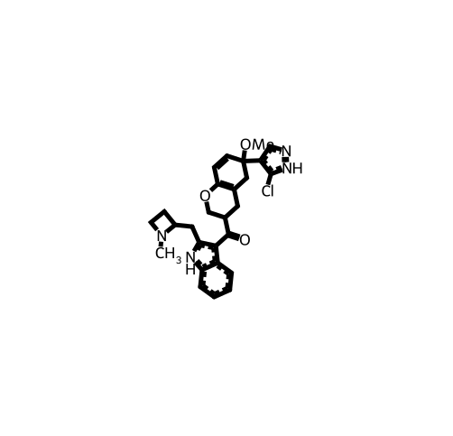 COC1(c2cn[nH]c2Cl)C=CC2=C(CC(C(=O)c3c(CC4CCN4C)[nH]c4ccccc34)CO2)C1